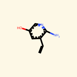 C=Cc1cc(O)cnc1N